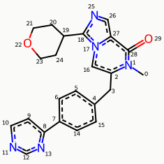 Cn1c(Cc2ccc(-c3ccncn3)cc2)cn2c(C3CCOCC3)ncc2c1=O